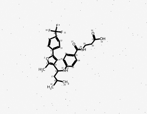 Cc1oc(-c2ccc(C(F)(F)F)cc2)cc1C(CC(C)C)Nc1ccc(C(=O)NCCC(=O)O)cc1